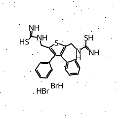 Br.Br.N=C(S)NCc1sc(CNC(=N)S)c(-c2ccccc2)c1-c1ccccc1